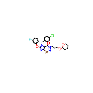 O=C(NCCCOC1CCCCO1)c1c(Br)nc(Oc2cccc(F)c2)n1Cc1ccc(Cl)cc1